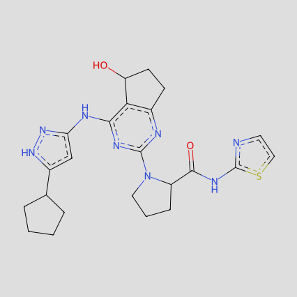 O=C(Nc1nccs1)C1CCCN1c1nc2c(c(Nc3cc(C4CCCC4)[nH]n3)n1)C(O)CC2